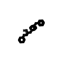 O[C@H](COC1CCCCC1)CN1CC2CC1CN2Cc1ccccc1